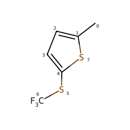 Cc1ccc(SC(F)(F)F)s1